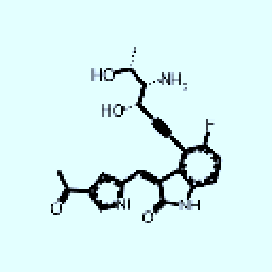 CC(=O)c1c[nH]c(/C=C2\C(=O)Nc3ccc(F)c(C#C[C@H](O)[C@@H](N)[C@@H](C)O)c32)c1